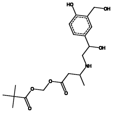 CC(CC(=O)OCOC(=O)C(C)(C)C)NCC(O)c1ccc(O)c(CO)c1